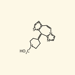 O=C(O)N1CCC(=C2c3sccc3C=Cn3ccnc32)CC1